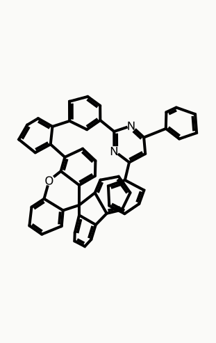 c1ccc(-c2cc(-c3ccccc3)nc(-c3cccc(-c4ccccc4-c4cccc5c4Oc4ccccc4C54c5ccccc5-c5ccccc54)c3)n2)cc1